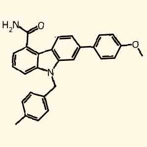 COc1ccc(-c2c[c]c3c4c(C(N)=O)cccc4n(Cc4ccc(C)cc4)c3c2)cc1